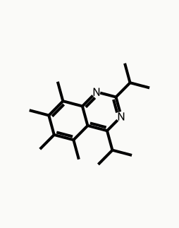 Cc1c(C)c(C)c2c(C(C)C)nc(C(C)C)nc2c1C